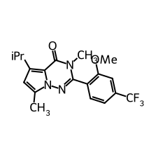 COc1cc(C(F)(F)F)ccc1-c1nn2c(C)cc(C(C)C)c2c(=O)n1C